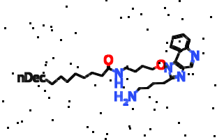 CCCCCCCCCCCCCCCCCC(=O)NCCCCOn1c(CCCCN)nc2cnc3ccccc3c21